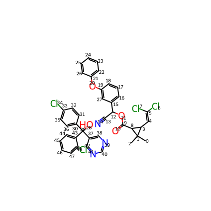 CC1(C)C(C=C(Cl)Cl)C1C(=O)OC(C#N)c1cccc(Oc2ccccc2)c1.OC(c1ccc(Cl)cc1)(c1cncnc1)c1ccccc1Cl